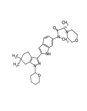 C[C@@H](C(=O)N(C)c1ccc2cc(-c3nn(C4CCCCO4)c4c3CCC(C)(C)C4)[nH]c2c1)N1CCOCC1